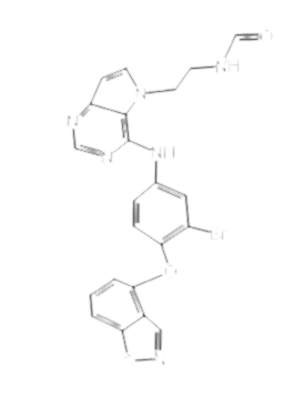 O=CNCCn1ccc2ncnc(Nc3ccc(Oc4cccc5sncc45)c(Br)c3)c21